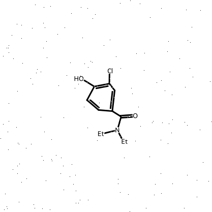 CCN(CC)C(=O)c1ccc(O)c(Cl)c1